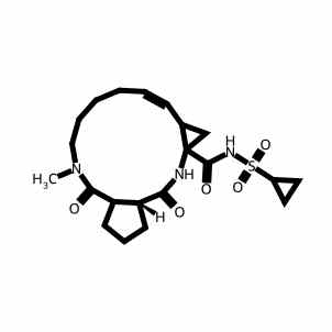 CN1CCCC/C=C\C2CC2(C(=O)NS(=O)(=O)C2CC2)NC(=O)[C@@H]2CCCC2C1=O